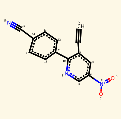 C#Cc1cc([N+](=O)[O-])cnc1-c1ccc(C#N)cc1